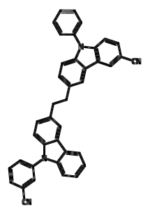 N#Cc1cccc(-n2c3ccccc3c3cc(CCc4ccc5c(c4)c4cc(C#N)ccc4n5-c4ccccc4)ccc32)c1